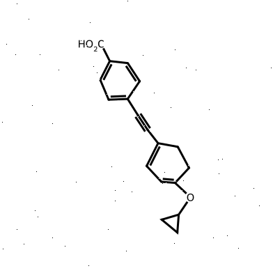 O=C(O)c1ccc(C#CC2=CC=C(OC3CC3)CC2)cc1